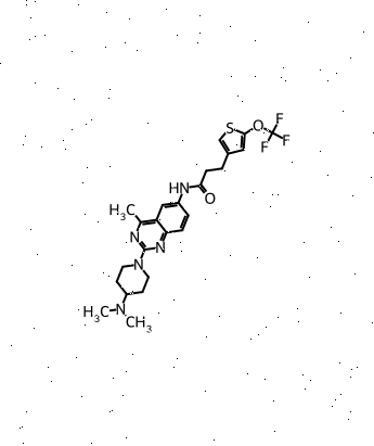 Cc1nc(N2CCC(N(C)C)CC2)nc2ccc(NC(=O)CCc3csc(OC(F)(F)F)c3)cc12